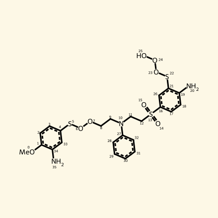 COc1ccc(SOOCCN(CCS(=O)(=O)c2ccc(N)c(SOOO)c2)c2ccccc2)cc1N